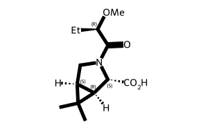 CC[C@@H](OC)C(=O)N1C[C@H]2[C@@H]([C@H]1C(=O)O)C2(C)C